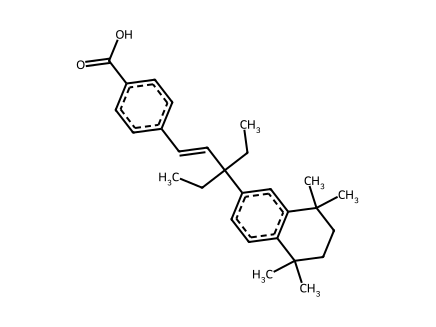 CCC(C=Cc1ccc(C(=O)O)cc1)(CC)c1ccc2c(c1)C(C)(C)CCC2(C)C